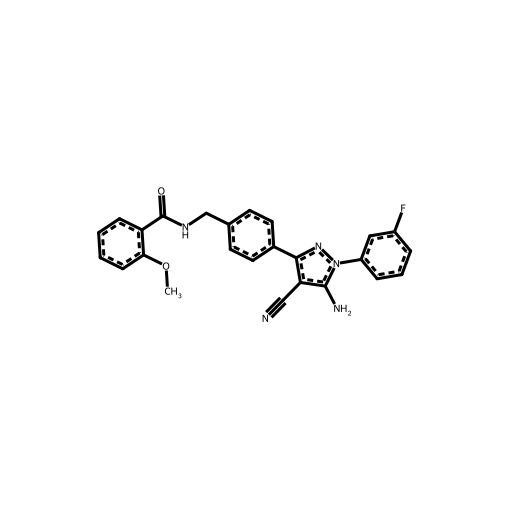 COc1ccccc1C(=O)NCc1ccc(-c2nn(-c3cccc(F)c3)c(N)c2C#N)cc1